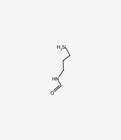 O=[C]NCCC[SiH3]